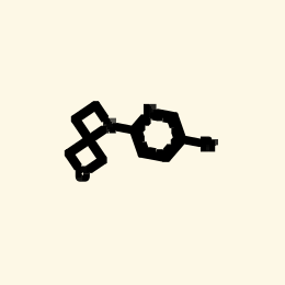 Brc1ccc(N2CCC23COC3)nc1